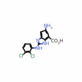 Nc1cc(C(=O)O)c2[nH]c(Nc3cccc(Cl)c3Cl)nc2c1